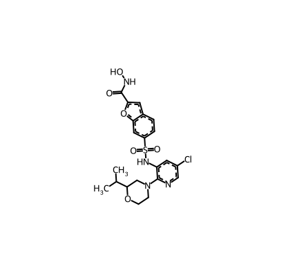 CC(C)C1CN(c2ncc(Cl)cc2NS(=O)(=O)c2ccc3cc(C(=O)NO)oc3c2)CCO1